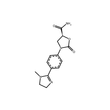 CN1CCN=C1c1ccc(N2C[C@@H](C(N)=O)OC2=O)cc1